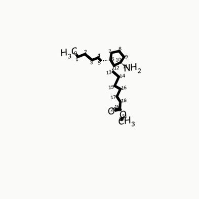 CCCCCC[C@@H]1CCC[C@H](N)[C@@H]1CCCCCCC(=O)OC